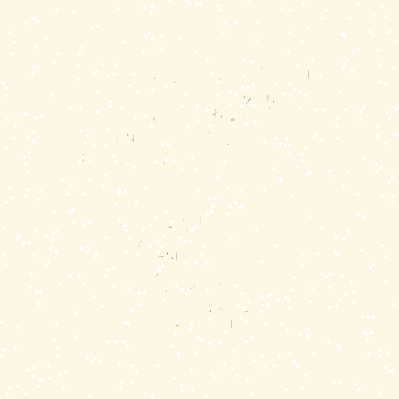 Cc1csc([C@H]2CCCN2C(=O)c2cccc(C(=O)N[C@@H](C)CCc3ccc(NCc4cccc(C(C)(C)C)c4)c(O)c3)c2)n1